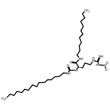 CCCCCCCCCCCCCCCCNC(=O)N[C@H](CCCNC(=N)N[N+](=O)[O-])C(=O)NCCCCCCCCCCCC